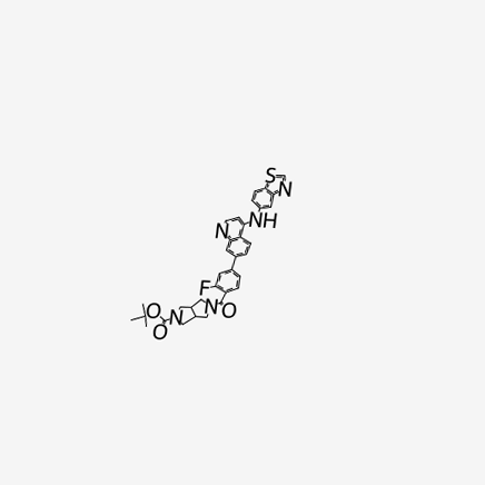 CC(C)(C)OC(=O)N1CC2CN(C(=O)c3ccc(-c4ccc5c(Nc6ccc7scnc7c6)ccnc5c4)cc3F)CC2C1